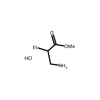 CCC(CN)C(=O)OC.Cl